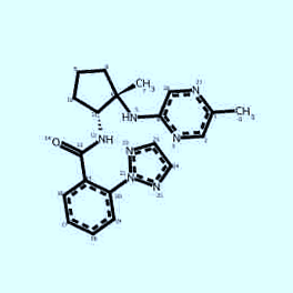 Cc1cnc(N[C@@]2(C)CCC[C@H]2NC(=O)c2ccccc2-n2nccn2)cn1